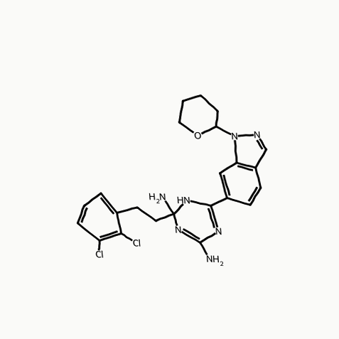 NC1=NC(N)(CCc2cccc(Cl)c2Cl)NC(c2ccc3cnn(C4CCCCO4)c3c2)=N1